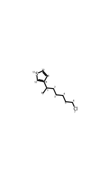 [CH2]C(CCCCCCl)c1ccsc1